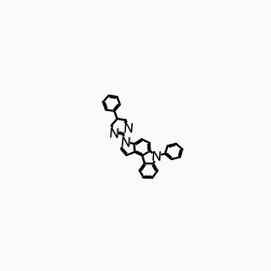 C1=NC(n2ccc3c4c5ccccc5n(-c5ccccc5)c4ccc32)=NCC1c1ccccc1